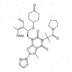 C=C/C(=C(\C)OC)[C@H](Cn1c(=O)n(C(C)(C)C(=O)N2CCCC2)c(=O)c2c(C)c(-n3cccn3)sc21)OC1CCC(=O)CC1